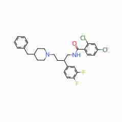 O=C(NCC(CCN1CCC(Cc2ccccc2)CC1)c1ccc(F)c(F)c1)c1ccc(Cl)cc1Cl